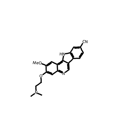 COc1cc2c(cc1OCCN(C)C)ncc1c3ccc(C#N)cc3[nH]c21